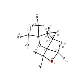 [2H]C([2H])([2H])C(OC(C([2H])([2H])[2H])(C(F)(F)F)C(F)(F)F)(C(F)(F)F)C(F)(F)F